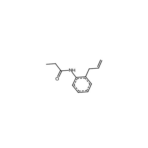 C=CCc1ccccc1NC(=O)CC